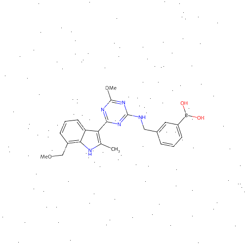 COCc1cccc2c(-c3nc(NCc4cccc(B(O)O)c4)nc(OC)n3)c(C)[nH]c12